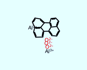 [Al+3].[Al+3].[O-2].[O-2].[O-2].c1cc2cccc3c4cccc5cccc(c(c1)c23)c54